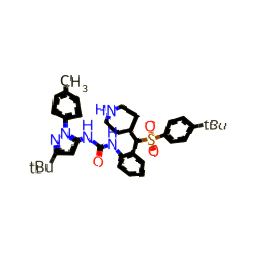 Cc1ccc(-n2nc(C(C)(C)C)cc2NC(=O)Nc2ccccc2C(C2CCNCC2)S(=O)(=O)c2ccc(C(C)(C)C)cc2)cc1